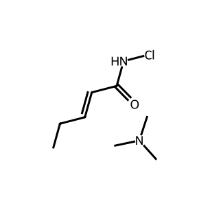 CCC=CC(=O)NCl.CN(C)C